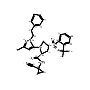 Cc1cc(N2C[C@H](S(=O)(=O)c3ccccc3C(F)(F)F)C[C@H]2C(=O)NC2(C#N)CC2)n(CCc2ccccc2)n1